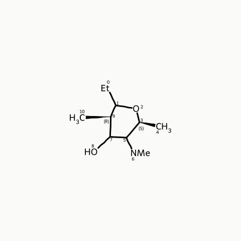 CCC1O[C@@H](C)C(NC)C(O)[C@H]1C